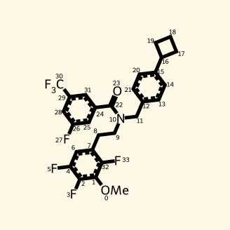 COc1c(F)c(F)cc(CCN(Cc2ccc(C3CCC3)cc2)C(=O)c2cc(F)cc(C(F)(F)F)c2)c1F